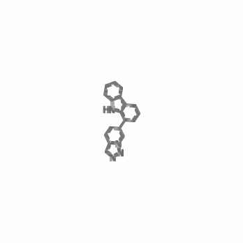 c1ccc2c(c1)[nH]c1c(-c3ccc4cnnn4c3)cccc12